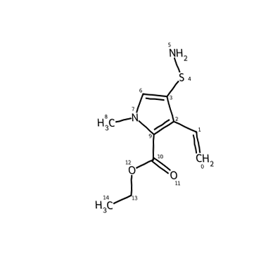 C=Cc1c(SN)cn(C)c1C(=O)OCC